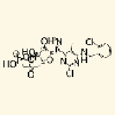 C=NN(c1nc(Cl)nc(NCc2ccccc2Cl)c1C)[C@@H]1O[C@H](CS(=O)(=O)CP(=O)(O)O)[C@@H](O)[C@H]1O